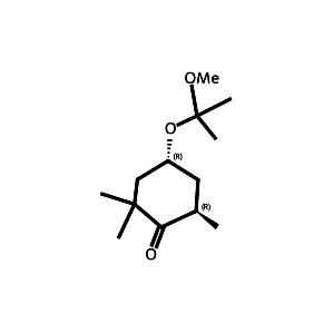 COC(C)(C)O[C@@H]1C[C@@H](C)C(=O)C(C)(C)C1